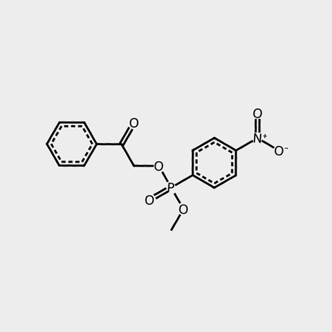 COP(=O)(OCC(=O)c1ccccc1)c1ccc([N+](=O)[O-])cc1